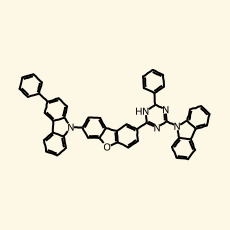 c1ccc(-c2ccc3c(c2)c2ccccc2n3-c2ccc3c(c2)oc2ccc(C4=NC(n5c6ccccc6c6ccccc65)=NC(c5ccccc5)N4)cc23)cc1